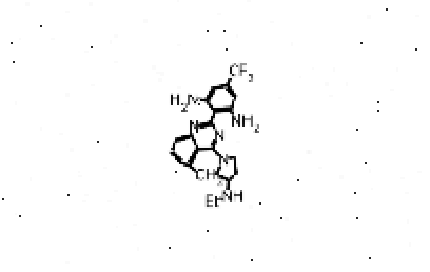 CCNC1CCN(c2nc(-c3c(N)cc(C(F)(F)F)cc3N)nc3cccc(C)c23)C1